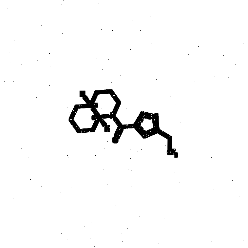 O=C(c1csc(CC(F)(F)F)c1)N1CCC[C@H]2CCCC[C@H]21